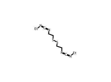 CCN=C=NCCSSCCN=C=NCC